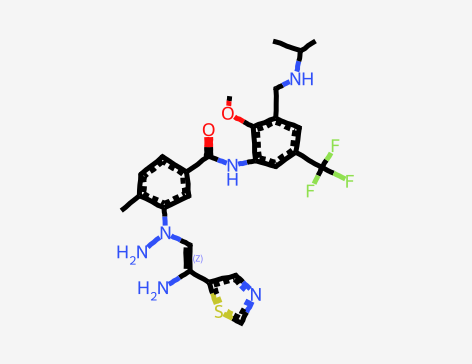 COc1c(CNC(C)C)cc(C(F)(F)F)cc1NC(=O)c1ccc(C)c(N(N)/C=C(\N)c2cncs2)c1